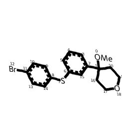 COC1(c2cccc(Sc3ccc(Br)cc3)c2)CCOCC1